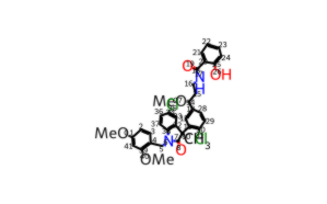 COc1ccc(CN2C(=O)C(C)(c3cc(C(CCNC(=O)c4ccccc4O)OC)ccc3Cl)c3cc(Cl)ccc32)c(OC)c1